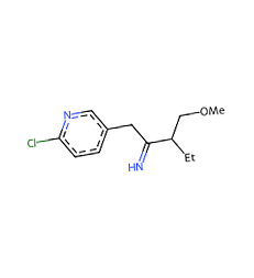 CCC(COC)C(=N)Cc1ccc(Cl)nc1